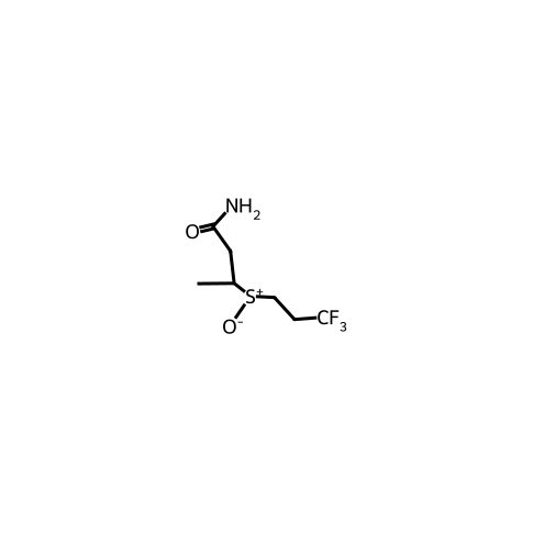 CC(CC(N)=O)[S+]([O-])CCC(F)(F)F